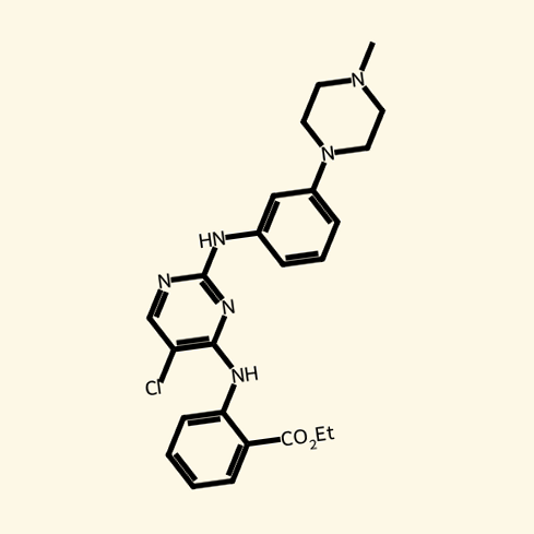 CCOC(=O)c1ccccc1Nc1nc(Nc2cccc(N3CCN(C)CC3)c2)ncc1Cl